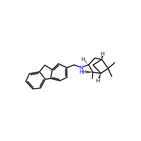 C[C@@H]1[C@@H](NCc2ccc3c(c2)Cc2ccccc2-3)C[C@H]2C[C@@H]1C2(C)C